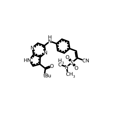 CN(C)S(=O)(=O)C(C#N)=Cc1ccc(Nc2cnc3[nH]cc(C(=O)C(C)(C)C)c3n2)cc1